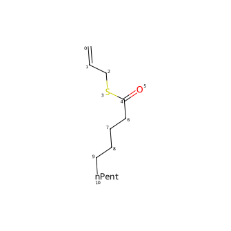 C=CCSC(=O)CCCCCCCCC